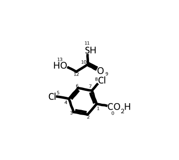 O=C(O)c1ccc(Cl)cc1Cl.O=C(S)CO